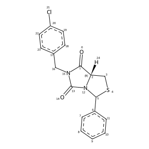 O=C1[C@@H]2CSC(c3ccccc3)N2C(=O)N1Cc1ccc(Cl)cc1